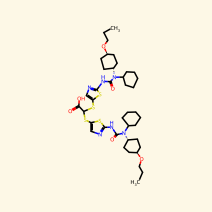 CCCO[C@H]1CC[C@H](N(C(=O)Nc2ncc(SC(Sc3cnc(NC(=O)N(C4CCCCC4)[C@H]4CC[C@H](OCCC)CC4)s3)C(=O)O)s2)C2CCCCC2)CC1